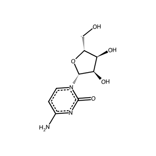 Nc1ccn([C@@H]2O[C@H]([CH]O)[C@@H](O)[C@H]2O)c(=O)n1